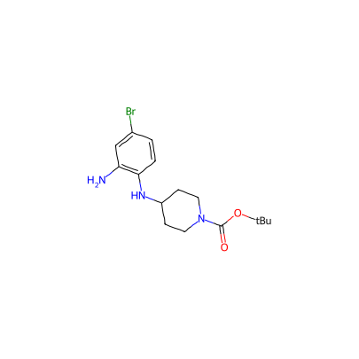 CC(C)(C)OC(=O)N1CCC(Nc2ccc(Br)cc2N)CC1